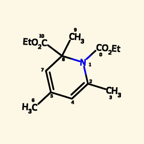 CCOC(=O)N1C(C)=CC(C)=CC1(C)C(=O)OCC